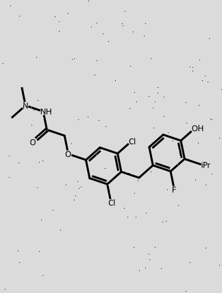 CC(C)c1c(O)ccc(Cc2c(Cl)cc(OCC(=O)NN(C)C)cc2Cl)c1F